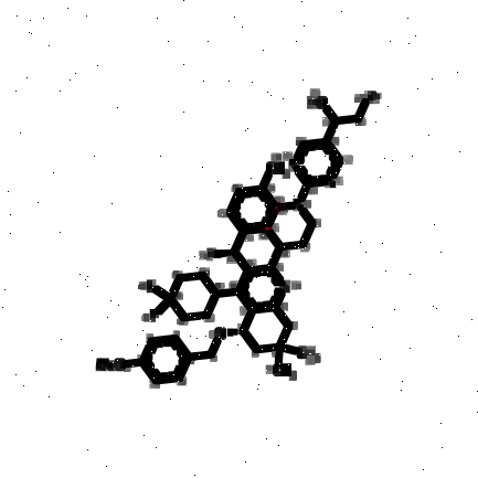 COc1ccc(CO[C@H]2CC(C)(C)Cc3nc(C4CCN(c5ncc(C(O)CC(C)C)cn5)CC4)c([C@@H](F)c4ccc(C)cc4)c(C4CCC(F)(F)CC4)c32)cc1